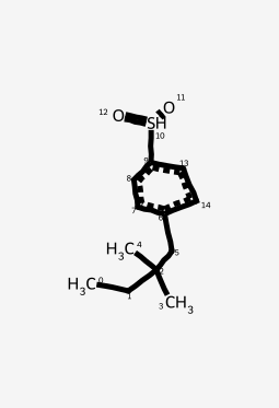 CCC(C)(C)Cc1ccc([SH](=O)=O)cc1